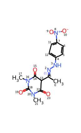 C/C(=N\Nc1ccc([N+](=O)[O-])cc1)C1C(=O)N(C)C(=O)N(C)C1=O